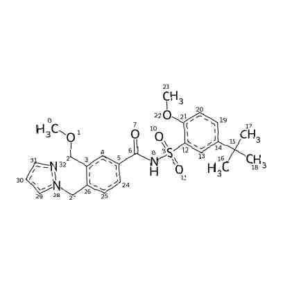 COCc1cc(C(=O)NS(=O)(=O)c2cc(C(C)(C)C)ccc2OC)ccc1Cn1cccn1